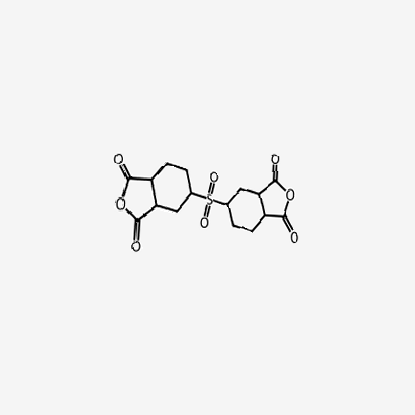 O=C1OC(=O)C2CC(S(=O)(=O)C3CCC4C(=O)OC(=O)C4C3)CCC12